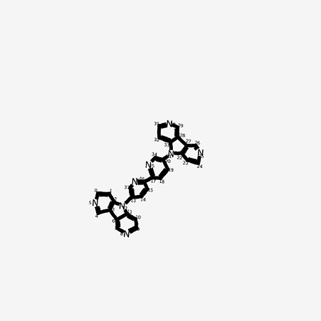 c1cc2c(cn1)c1cnccc1n2-c1ccc(-c2ccc(-n3c4ccncc4c4cnccc43)cn2)nc1